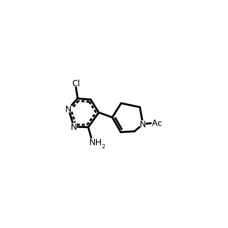 CC(=O)N1CC=C(c2cc(Cl)nnc2N)CC1